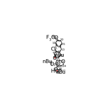 CCCCO[C@@H]1[C@@H](OCCCC)[C@@]2(c3ccc(Cl)c(Cc4ccc(OC(F)(F)F)cc4)c3)OC[C@](C(C)O)(O2)[C@H]1OCCCC